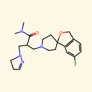 CN(C)C(=O)C(CN1CCC2(CC1)OCc1ccc(F)cc12)CN1CCC=N1